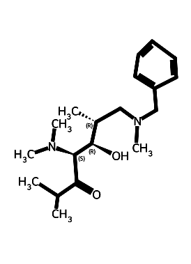 CC(C)C(=O)[C@H]([C@H](O)[C@H](C)CN(C)Cc1ccccc1)N(C)C